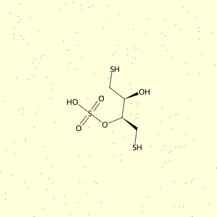 O=S(=O)(O)O[C@H](CS)[C@H](O)CS